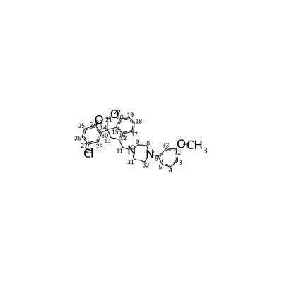 COc1cccc(N2CCN(CCCC3(c4ccccc4)C(=O)Oc4ccc(Cl)cc43)CC2)c1